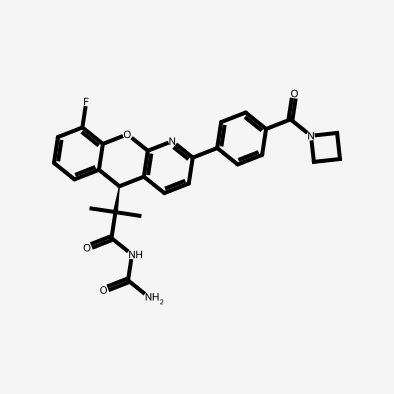 CC(C)(C(=O)NC(N)=O)[C@@H]1c2ccc(-c3ccc(C(=O)N4CCC4)cc3)nc2Oc2c(F)cccc21